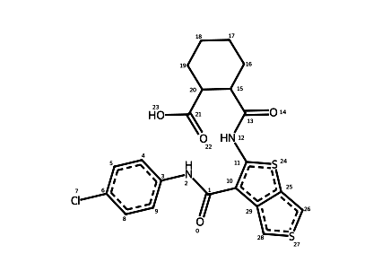 O=C(Nc1ccc(Cl)cc1)c1c(NC(=O)C2CCCCC2C(=O)O)sc2cscc12